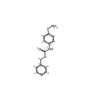 NCc1ccc(NC(=O)CCc2ccccc2)cc1